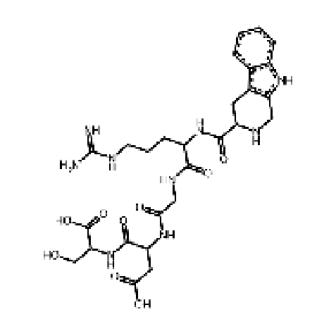 N=C(N)NCCCC(NC(=O)C1Cc2c([nH]c3ccccc23)CN1)C(=O)NCC(=O)NC(CC(=O)O)C(=O)NC(CO)C(=O)O